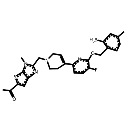 Bc1cc(C)ccc1COc1nc(C2=CCN(Cc3nc4cc(C(C)=O)sc4n3C)CC2)ccc1F